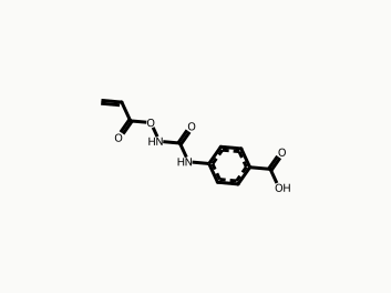 C=CC(=O)ONC(=O)Nc1ccc(C(=O)O)cc1